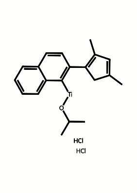 CC1=CC(C)=C(c2ccc3ccccc3[c]2[Ti][O]C(C)C)C1.Cl.Cl